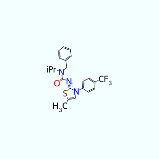 Cc1cn(-c2ccc(C(F)(F)F)cc2)/c(=N/C(=O)N(Cc2ccccc2)C(C)C)s1